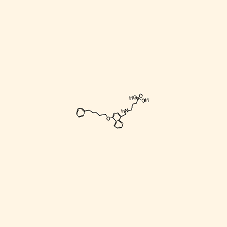 O=P(O)(O)CCCNCc1ccc(OCCCCCc2ccccc2)c2ccccc12